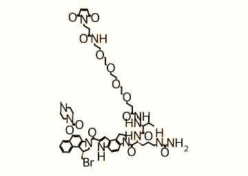 CC(C)[C@H](NNC(=O)CCOCCOCCOCCOCCNC(=O)CCN1C(=O)C=CC1=O)C(=O)N[C@@H](CCCNC(N)=O)C(=O)N1CCc2c1ccc1[nH]c(C(=O)N3C[C@@H](CBr)c4c3cc(OC(=O)N3CCN(C)CC3)c3ccccc43)cc21